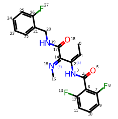 C/C=C(NC(=O)c1c(F)cccc1F)\C(=N/C)C(=O)NCc1ccccc1F